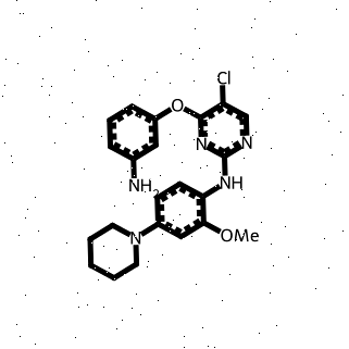 COc1cc(N2CCCCC2)ccc1Nc1ncc(Cl)c(Oc2cccc(N)c2)n1